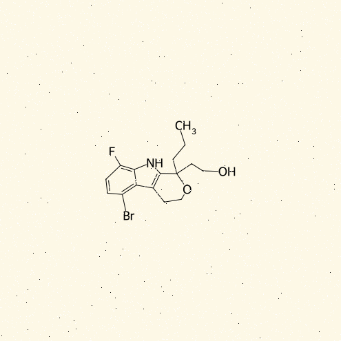 CCCC1(CCO)OCCc2c1[nH]c1c(F)ccc(Br)c21